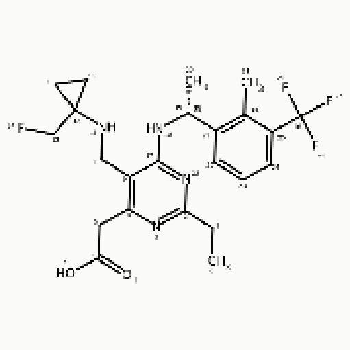 CCc1nc(CC(=O)O)c(CNC2(CF)CC2)c(N[C@H](C)c2cccc(C(F)(F)F)c2C)n1